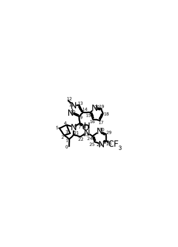 CC1C2CC(C2)N(C(=O)c2nn(C)cc2-c2ccccn2)C1CNc1cnc(C(F)(F)F)cn1